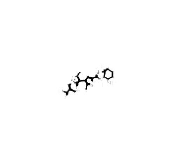 Cc1nn2cc(C(=O)O)cnc2c1-c1cc(C(=O)N[C@@H]2[C@H](N)CCCC2(F)F)sc1C